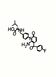 CC(C)C[C@H](NCc1ccc(-n2c(N)c(C(=O)c3ccc(F)cc3)ccc2=O)cc1)C(=O)O